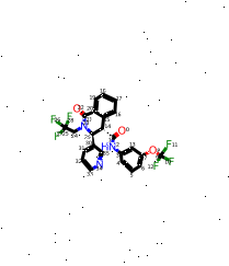 O=C(Nc1cccc(OC(F)(F)F)c1)[C@H]1c2ccccc2C(=O)N(CC(F)(F)F)[C@@H]1c1cccnc1